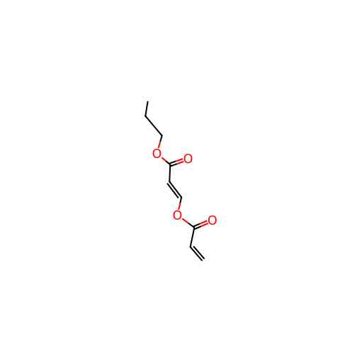 C=CC(=O)OC=CC(=O)OCCC